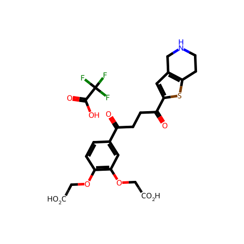 O=C(O)C(F)(F)F.O=C(O)COc1ccc(C(=O)CCC(=O)c2cc3c(s2)CCNC3)cc1OCC(=O)O